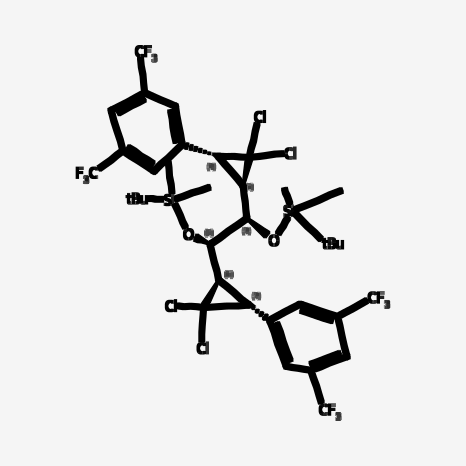 CC(C)(C)[Si](C)(C)O[C@@H]([C@H](O[Si](C)(C)C(C)(C)C)[C@H]1[C@H](c2cc(C(F)(F)F)cc(C(F)(F)F)c2)C1(Cl)Cl)[C@H]1[C@H](c2cc(C(F)(F)F)cc(C(F)(F)F)c2)C1(Cl)Cl